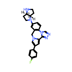 Fc1ccc(-c2cc3n(c2)Cc2cc(N4CC[C@H]5NCC[C@@H]54)ccc2-n2cnnc2-3)cc1